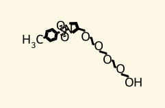 Cc1ccc(S(=O)(=O)n2ccc(COCCOCCOCCOCCO)c2)cc1